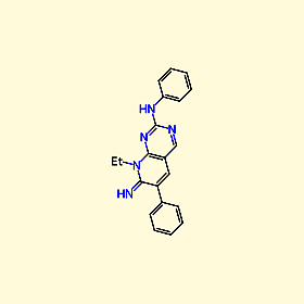 CCn1c(=N)c(-c2ccccc2)cc2cnc(Nc3ccccc3)nc21